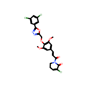 COc1cc(C=CC(=O)N2CCC=C(Cl)C2=O)cc(OC)c1OCc1nnc(-c2cc(Cl)cc(Cl)c2)o1